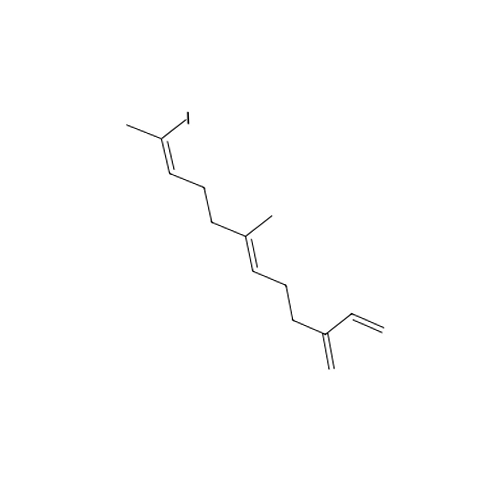 C=CC(=C)CC/C=C(\C)CC/C=C(/C)I